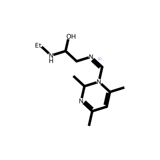 CCNC(O)C/N=C\N1C(C)=CC(C)=NC1C